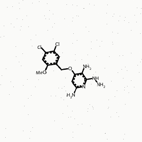 COc1cc(Cl)c(Cl)cc1COc1cc(N)nc(NN)c1N